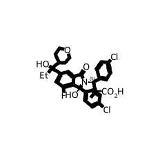 CCC(O)(c1cc(F)c2c(c1)C(=O)N([C@H](c1ccc(Cl)cc1)[C@H](C)C(=O)O)[C@@]2(O)c1ccc(Cl)cc1)C1CCOCC1